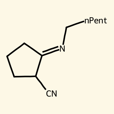 CCCCCC/N=C1\CCCC1C#N